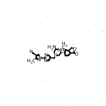 Cc1nn(-c2ncc(CN3C[C@@H](c4ccc5c(c4C)COC5=O)N[C@@H](N)C3)cn2)cc1C#N